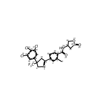 Cc1cc(C2=NCC(c3cc(Cl)c(Cl)c(Cl)c3)(C(F)(F)F)C2)ccc1C(=O)NC1COS(=O)C1